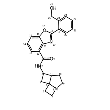 O=C(NC1CC23CCN2CCC13)c1cccc2oc(-c3ccccc3CO)nc12